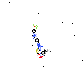 Cc1ccc([N+](=O)[O-])c(N2C(=O)CS/C2=N\C(=S)N/N=C/c2ccc(-c3ncn(-c4ccc(OC(F)(F)F)cc4)n3)cc2)c1